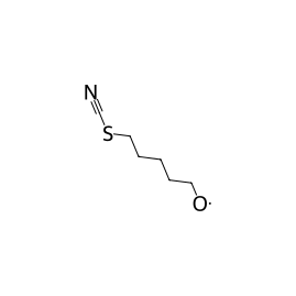 N#CSCCCCC[O]